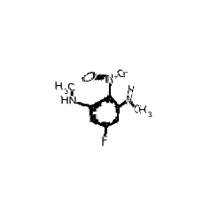 CNc1cc(F)cc(NC)c1[N+](=O)[O-]